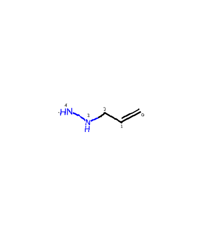 C=CCN[NH]